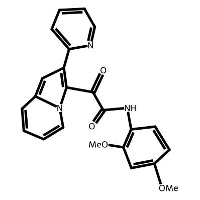 COc1ccc(NC(=O)C(=O)c2c(-c3ccccn3)cc3ccccn23)c(OC)c1